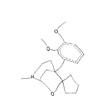 COc1cccc(C23CCN(C)C(C2)OC32CCCC2)c1OC